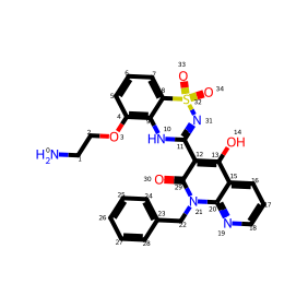 NCCOc1cccc2c1NC(c1c(O)c3cccnc3n(Cc3ccccc3)c1=O)=NS2(=O)=O